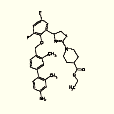 CCOC(=O)C1CCN(C2=NC(c3cc(F)cc(F)c3OCc3ccc(-c4ccc(N)cc4C)cc3C)CS2)CC1